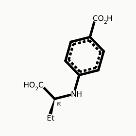 CC[C@H](Nc1ccc(C(=O)O)cc1)C(=O)O